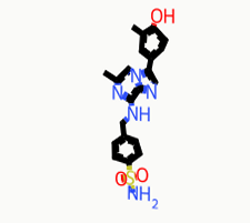 Cc1cn2c(-c3ccc(O)c(C)c3)cnc2c(NCc2ccc(S(N)(=O)=O)cc2)n1